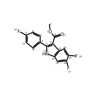 COC(=O)c1c(-c2ccc(F)cc2)[nH]c2cc(F)c(F)cc12